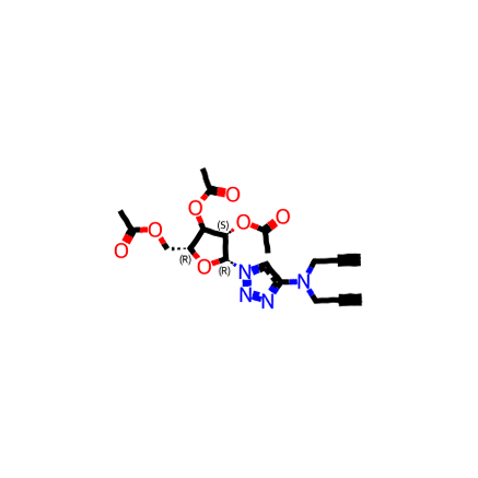 C#CCN(CC#C)c1cn([C@@H]2O[C@H](COC(C)=O)C(OC(C)=O)[C@@H]2OC(C)=O)nn1